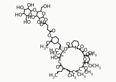 C=CC[C@@H]1/C=C(\C)C[C@@H](C)C[C@H](OC)[C@H]2O[C@@](O)(C(=O)C(=O)N3CCCCC3C(=O)O[C@H](/C(C)=C/C3CCC(OC(=O)CCC(=O)OC4OC(CO)C(OC5OC(CO)C(O)C(O)C5O)C(O)C4O)[C@H](OC)C3)[C@H](C)[C@H](O)CC1=O)[C@H](C)CC2OC